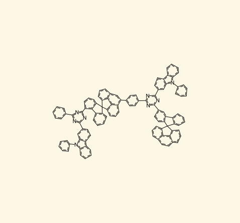 c1ccc(-c2nc(-c3ccc4c5ccccc5n(-c5ccccc5)c4c3)nc(-c3cccc4c3-c3ccccc3C43c4cccc5cc(-c6ccc(-c7nc(-c8ccc9c(c8)-c8ccccc8C98c9cccc%10ccc%11cccc8c%11c9%10)nc(-c8ccc9c%10ccccc%10n(-c%10ccccc%10)c9c8)n7)cc6)c6cccc3c6c45)n2)cc1